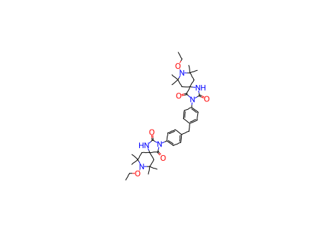 CCON1C(C)(C)CC2(CC1(C)C)NC(=O)N(c1ccc(Cc3ccc(N4C(=O)NC5(CC(C)(C)N(OCC)C(C)(C)C5)C4=O)cc3)cc1)C2=O